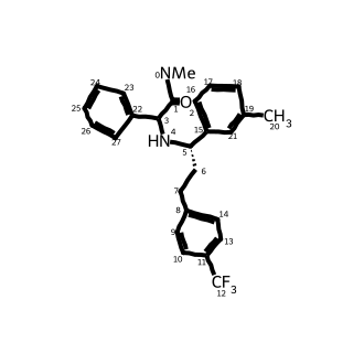 CNC(=O)C(N[C@@H](CCc1ccc(C(F)(F)F)cc1)c1cccc(C)c1)c1ccccc1